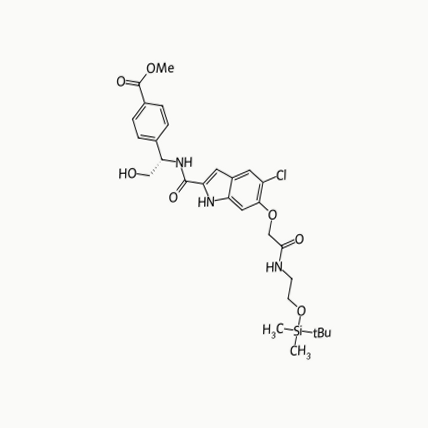 COC(=O)c1ccc([C@@H](CO)NC(=O)c2cc3cc(Cl)c(OCC(=O)NCCO[Si](C)(C)C(C)(C)C)cc3[nH]2)cc1